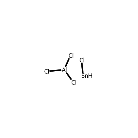 [Cl][Al]([Cl])[Cl].[Cl][SnH]